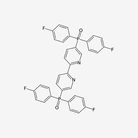 O=P(c1ccc(F)cc1)(c1ccc(F)cc1)c1ccc(-c2ccc(P(=O)(c3ccc(F)cc3)c3ccc(F)cc3)cn2)nc1